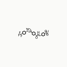 CCS(=O)(=O)c1ccc(CNC(=O)c2ccc(N3CCN(C)C(c4ccc(C(F)(F)F)cc4)C3)cc2)cc1